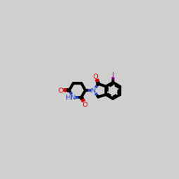 O=C1CCC(N2Cc3cccc(I)c3C2=O)C(=O)N1